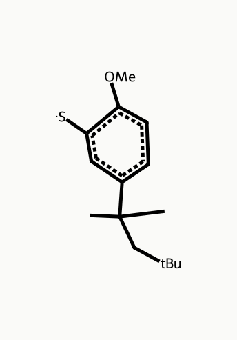 COc1ccc(C(C)(C)CC(C)(C)C)cc1[S]